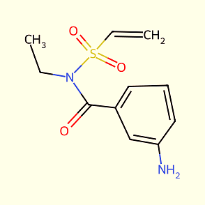 C=CS(=O)(=O)N(CC)C(=O)c1cccc(N)c1